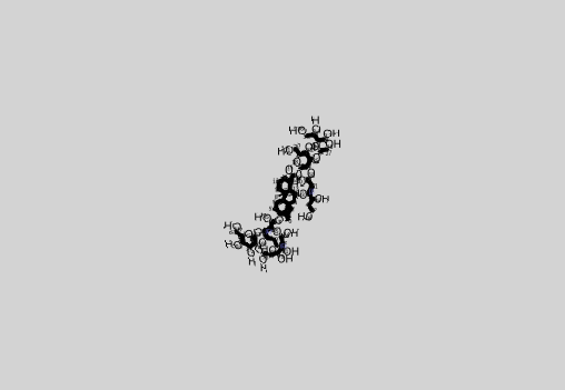 C=C1CC23CCC4[C@@](C)(CCC[C@@]4(C)C(=O)OC4OC(CO)C(O)C(OC(CO)OC(CO)C(O)CO)C4OC(O)/C=C(\O)C(O)CCO)C2CCC1(OC(O)/C1=C(/C(O)CCO)OC2OC(CO)C(O)C(O)C2OC(O)CC(O)/C(O)=C\C(O)O1)C3